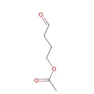 CC(=O)OCCCC=O